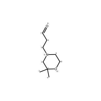 CC1(C)CN(CCC=O)CCO1